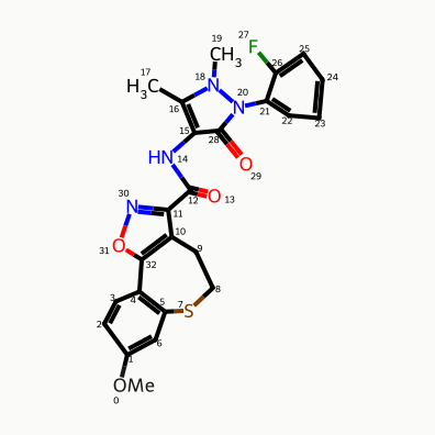 COc1ccc2c(c1)SCCc1c(C(=O)Nc3c(C)n(C)n(-c4ccccc4F)c3=O)noc1-2